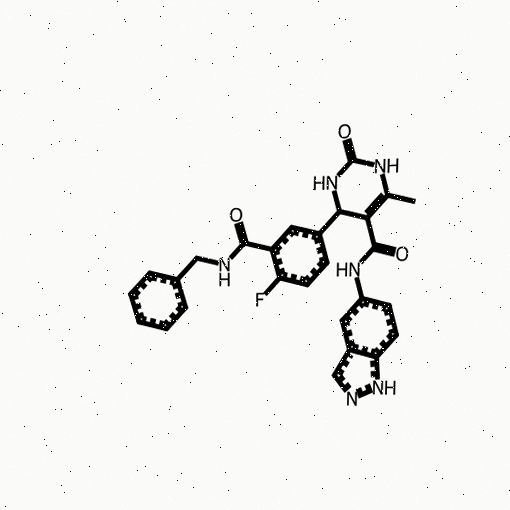 CC1=C(C(=O)Nc2ccc3[nH]ncc3c2)C(c2ccc(F)c(C(=O)NCc3ccccc3)c2)NC(=O)N1